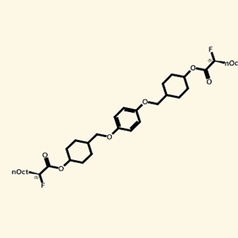 CCCCCCCC[C@H](F)C(=O)OC1CCC(COc2ccc(OCC3CCC(OC(=O)[C@@H](F)CCCCCCCC)CC3)cc2)CC1